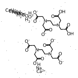 O.O.O.O=C([O-])CN(CCN(CC(=O)O)CC(=O)O)CC(=O)[O-].O=C([O-])CN(CCN(CC(=O)[O-])CC(=O)[O-])CC(=O)[O-].[Ca+2].[Ca+2].[CaH2].[Na+].[Na+].[NaH].[NaH]